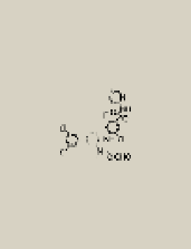 CN(COC=O)[C@H]1C[C@@H](c2cc(Cl)cc(Cl)c2)CC[C@@H]1Nc1cc(F)c(S(=O)(=O)Nc2ccncn2)cc1Cl